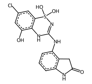 O=C1Cc2c(cccc2NC2=NS(O)(O)c3cc(Cl)cc(O)c3N2)N1